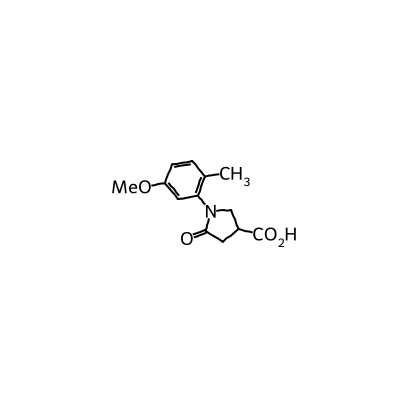 COc1ccc(C)c(N2CC(C(=O)O)CC2=O)c1